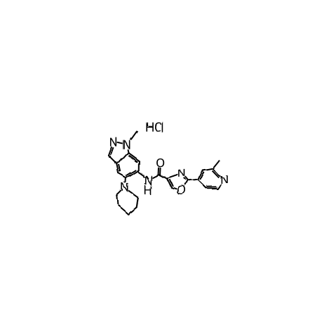 Cc1cc(-c2nc(C(=O)Nc3cc4c(cnn4C)cc3N3CCCCC3)co2)ccn1.Cl